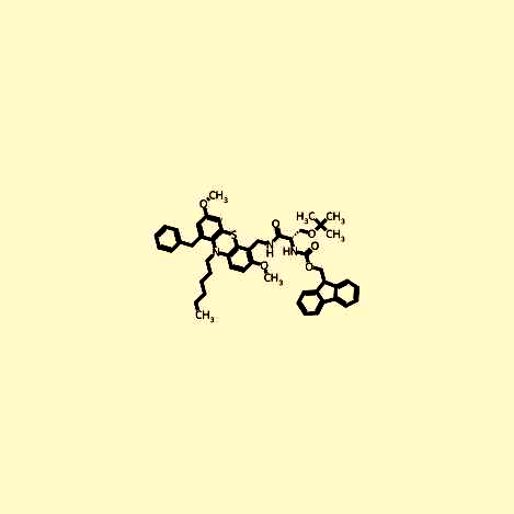 CCCCCCN1c2ccc(OC)c(CNC(=O)[C@H](COC(C)(C)C)NC(=O)OCC3c4ccccc4-c4ccccc43)c2Sc2[c]c(OC)cc(Cc3ccccc3)c21